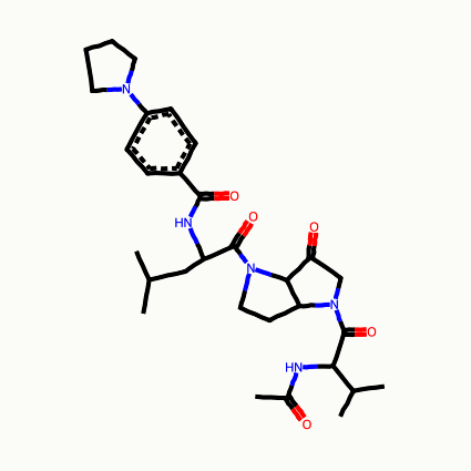 CC(=O)NC(C(=O)N1CC(=O)C2C1CCN2C(=O)C(CC(C)C)NC(=O)c1ccc(N2CCCC2)cc1)C(C)C